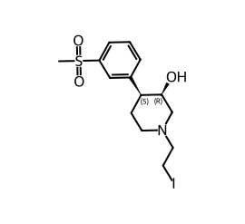 CS(=O)(=O)c1cccc([C@@H]2CCN(CCI)C[C@@H]2O)c1